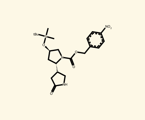 CC(C)(C)[Si](C)(C)O[C@@H]1C[C@@H](C2CNC(=O)C2)N(C(=O)OCc2ccc([N+](=O)[O-])cc2)C1